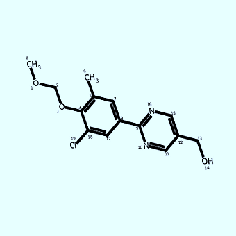 COCOc1c(C)cc(-c2ncc(CO)cn2)cc1Cl